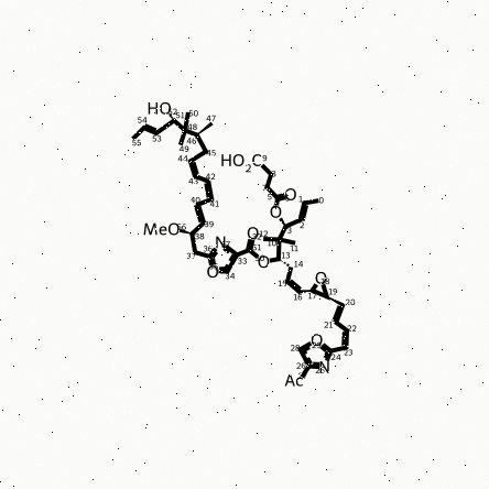 C/C=C/[C@H](OC(=O)CCC(=O)O)C(C)(C)[C@H](C/C=C\[C@H]1O[C@H]1/C=C/C=C\c1nc(C(C)=O)co1)OC(=O)c1coc(C[C@H](/C=C/C=C\C=C/C[C@H](C)C(C)(C)[C@@H](O)/C=C/C)OC)n1